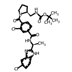 C[C@H](NC(=O)c1ccc(C(=O)N2CCC[C@H]2CNC(=O)OC(C)(C)C)c(Cl)c1)c1nc2cc(Cl)ccc2[nH]1